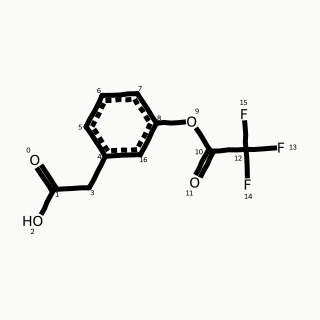 O=C(O)Cc1cccc(OC(=O)C(F)(F)F)c1